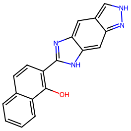 Oc1c(-c2nc3cc4c[nH]nc4cc3[nH]2)ccc2ccccc12